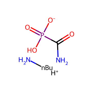 CCCCN.NC(=O)P(=O)([O-])O.[H+]